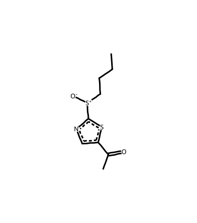 CCCC[S+]([O-])c1ncc(C(C)=O)s1